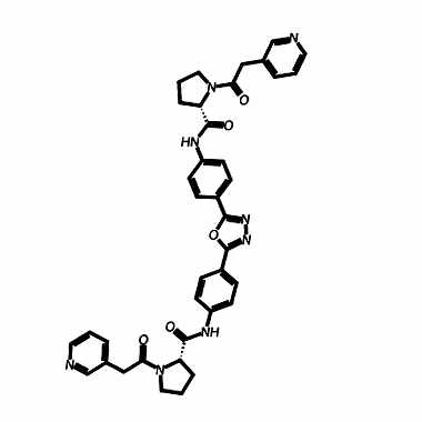 O=C(Nc1ccc(-c2nnc(-c3ccc(NC(=O)[C@@H]4CCCN4C(=O)Cc4cccnc4)cc3)o2)cc1)[C@@H]1CCCN1C(=O)Cc1cccnc1